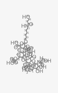 CCC1OC(OC2C(C(=O)O)OC(OC3C(O)CC(OC4C(C(=O)O)OC(OCCCCCCNC(=O)CCO)C(OS(=O)(=O)O)C4O)OC3COS(=O)(=O)O)C(OS(=O)(=O)O)C2O)C(/N=[SH](=O)/OO)C(O)C1O